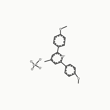 COc1ccc(-c2cc(C)cc(-c3ccc(OC)cc3)[o+]2)cc1.[O-][Cl+3]([O-])([O-])[O-]